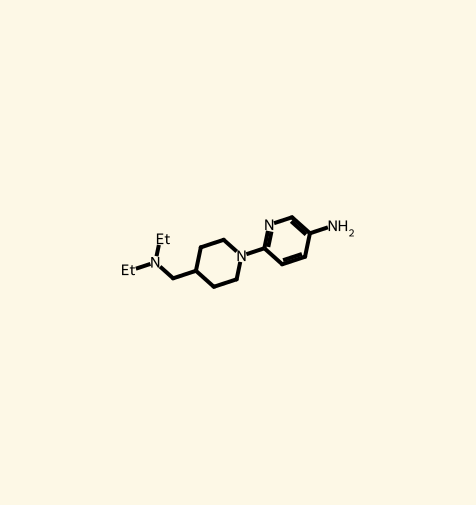 CCN(CC)CC1CCN(c2ccc(N)cn2)CC1